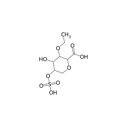 CCOC1C(C(=O)O)OCC(OS(=O)(=O)O)C1O